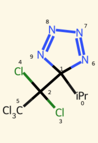 CC(C)C1(C(Cl)(Cl)C(Cl)(Cl)Cl)N=NN=N1